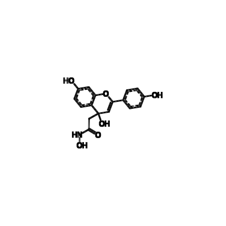 O=C(CC1(O)C=C(c2ccc(O)cc2)Oc2cc(O)ccc21)NO